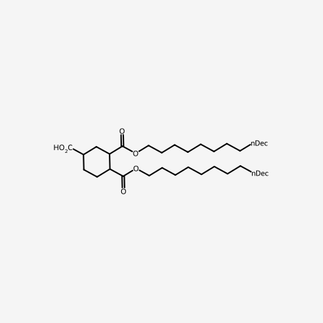 CCCCCCCCCCCCCCCCCCOC(=O)C1CCC(C(=O)O)CC1C(=O)OCCCCCCCCCCCCCCCCCC